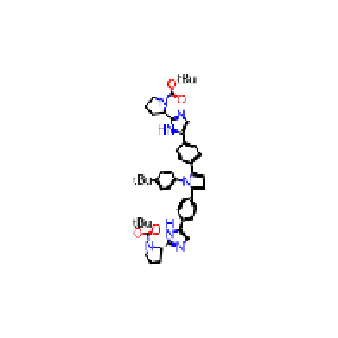 CC(C)(C)OC(=O)N1CCCC1c1ncc(-c2ccc(-c3ccc(-c4ccc(-c5cnc([C@@H]6CCCN6C(=O)OC(C)(C)C)[nH]5)cc4)n3-c3ccc(C(C)(C)C)cc3)cc2)[nH]1